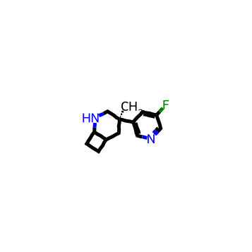 C[C@@]1(c2cncc(F)c2)CNC2CCC2C1